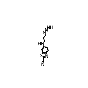 N#Cc1nc2ccc(NCCCN=[N+]=N)cc2s1